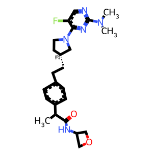 CC(C(=O)NC1COC1)c1ccc(CC[C@@H]2CCN(c3nc(N(C)C)ncc3F)C2)cc1